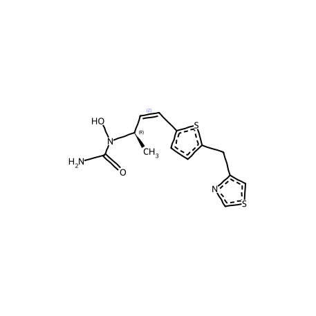 C[C@H](/C=C\c1ccc(Cc2cscn2)s1)N(O)C(N)=O